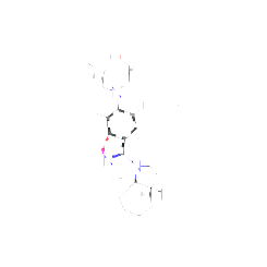 C[C@@H]1CN(c2c(C=O)cc3c(N4CS[C@@H]5CCCC[C@H]54)noc3c2F)C[C@@H](C)O1